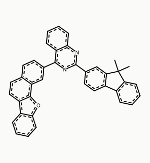 CC1(C)c2ccccc2-c2ccc(-c3nc(-c4ccc5ccc6c7ccccc7oc6c5c4)c4ccccc4n3)cc21